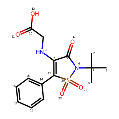 CC(C)(C)N1C(=O)C(NCC(=O)O)=C(c2ccccc2)S1(=O)=O